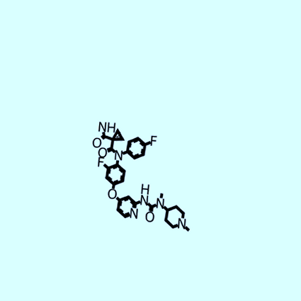 CN1CCC(N(C)C(=O)Nc2cc(Oc3ccc(N(C(=O)C4(C(N)=O)CC4)c4ccc(F)cc4)c(F)c3)ccn2)CC1